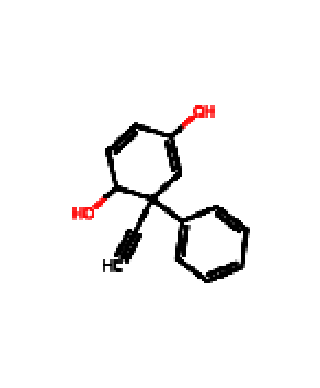 C#CC1(c2ccccc2)C=C(O)C=CC1O